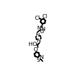 Cc1nc2cc(OC[C@@H](O)CN3CCN(Cc4nc(-c5ccc(Cl)c(Cl)c5)no4)CC3)ccc2s1